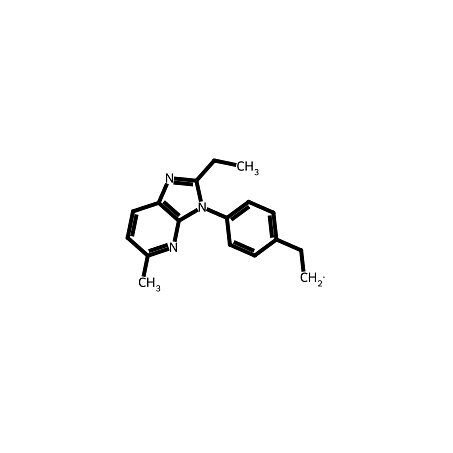 [CH2]Cc1ccc(-n2c(CC)nc3ccc(C)nc32)cc1